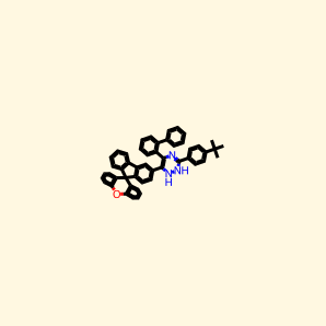 CC(C)(C)c1ccc(C2=NC(c3ccccc3-c3ccccc3)=C(c3ccc4c(c3)-c3ccccc3C43c4ccccc4Oc4ccccc43)NN2)cc1